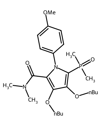 CCCCOc1c(OCCCC)c(P(C)(C)=O)n(-c2ccc(OC)cc2)c1C(=O)N(C)C